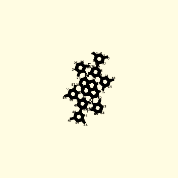 Cc1cc(C)cc(-c2cc(-c3cc(C)cc(C)c3)cc(N(c3c(C)cccc3F)c3ccc4ccc5c(N(c6cc(-c7cc(C)cc(C)c7)cc(-c7cc(C)cc(C)c7)c6)c6c(C)cccc6F)ccc6ccc3c4c65)c2)c1